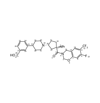 CC(C)[C@]1(C(=O)N2COc3cc(F)c(C(F)(F)F)cc3C2)CC[C@@H](N2CCC(c3cccc(C(=O)O)c3)CC2)C1